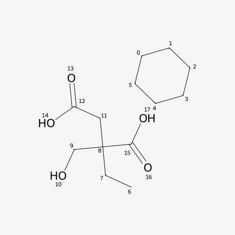 C1CCCCC1.CCC(CO)(CC(=O)O)C(=O)O